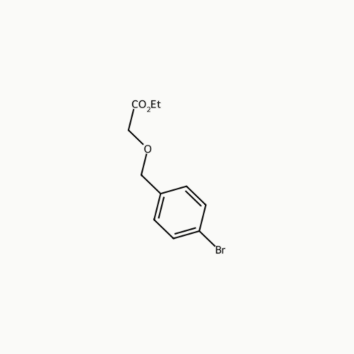 CCOC(=O)COCc1ccc(Br)cc1